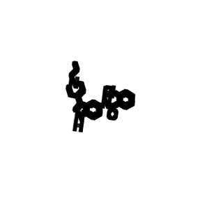 CCCN1CC=C(c2c[nH]c3ccc(NC(=O)c4ccccc4Cl)cc23)CC1